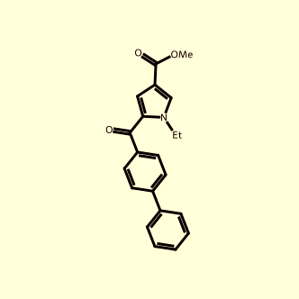 CCn1cc(C(=O)OC)cc1C(=O)c1ccc(-c2ccccc2)cc1